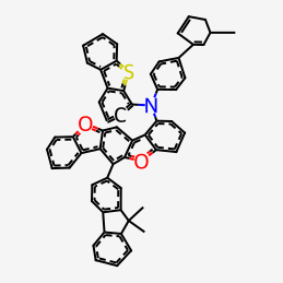 CC1C=C(c2ccc(N(c3cccc4c3sc3ccccc34)c3cccc4oc5c(-c6ccc7c(c6)C(C)(C)c6ccccc6-7)c6c(cc5c34)oc3ccccc36)cc2)C=CC1